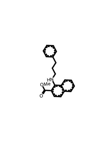 COC(=O)c1ccc2ccccc2c1NCCCc1ccccc1